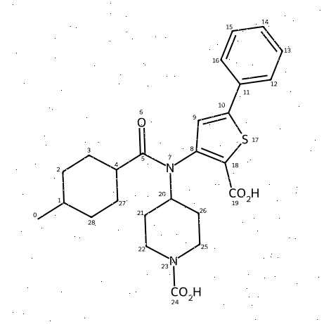 CC1CCC(C(=O)N(c2cc(-c3ccccc3)sc2C(=O)O)C2CCN(C(=O)O)CC2)CC1